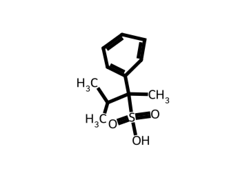 CC(C)C(C)(c1ccccc1)S(=O)(=O)O